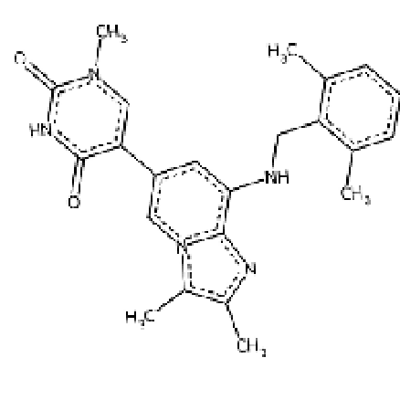 Cc1cccc(C)c1CNc1cc(-c2cn(C)c(=O)[nH]c2=O)cn2c(C)c(C)nc12